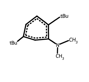 CN(C)c1cc(C(C)(C)C)ccc1C(C)(C)C